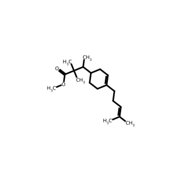 COC(=O)C(C)(C)C(C)C1CC=C(CCC=C(C)C)CC1